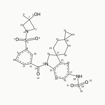 CC1(O)CN(S(=O)(=O)c2cccc(C(=O)N3CC4(CCC5(CC5)CC4)c4cc(NS(C)(=O)=O)ccc43)c2)C1